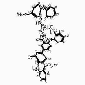 CCc1cc(-c2ccc(Nc3ccccc3C(=O)O)c(C(=O)NCCNC3Cc4ccccc4Sc4ccc(SC)cc43)c2)ccc1Nc1ccccc1C(=O)O